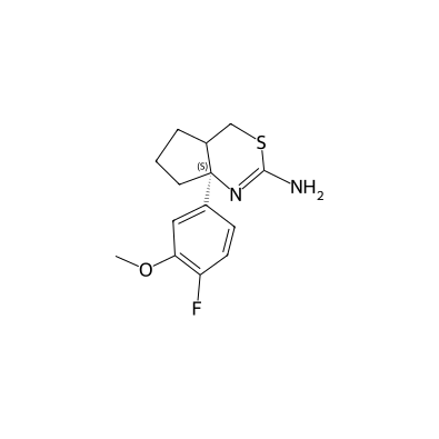 COc1cc([C@]23CCCC2CSC(N)=N3)ccc1F